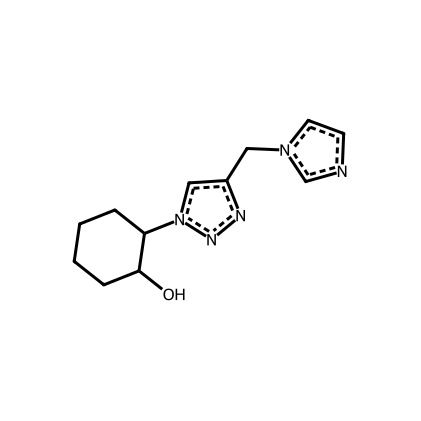 OC1CCCCC1n1cc(Cn2ccnc2)nn1